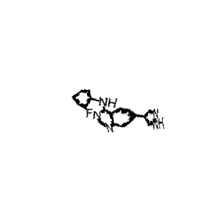 Fc1ccccc1Nc1ncnc2cc(-c3cn[nH]c3)ccc12